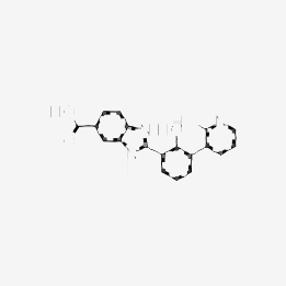 O=C(O)c1ccc2nc(-c3cccc(-c4cccnc4O)c3O)[nH]c2c1